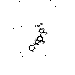 NC(=O)[C@H]1CN(c2cc(F)c3nc(N4CCSCC4)sc3c2)C(=O)O1